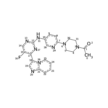 CC(=O)N1CCN(c2ccc(Nc3ncc(F)c(-c4cnc5ccccn45)n3)cn2)CC1